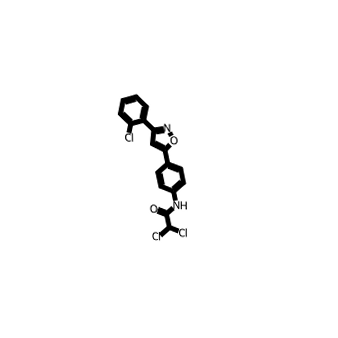 O=C(Nc1ccc(-c2cc(-c3ccccc3Cl)no2)cc1)C(Cl)Cl